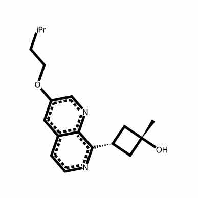 CC(C)CCOc1cnc2c(ccnc2[C@H]2C[C@@](C)(O)C2)c1